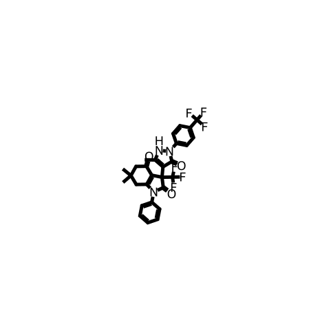 Cc1[nH]n(-c2ccc(C(F)(F)F)cc2)c(=O)c1C1(C(F)(F)F)C(=O)N(c2ccccc2)C2=C1C(=O)CC(C)(C)C2